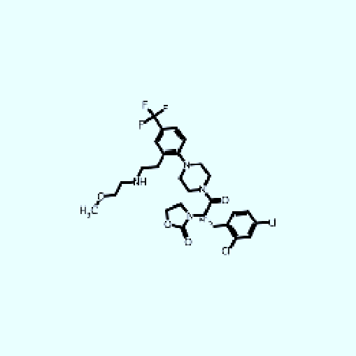 COCCNCCc1cc(C(F)(F)F)ccc1N1CCN(C(=O)[C@H](Cc2ccc(Cl)cc2Cl)N2CCOC2=O)CC1